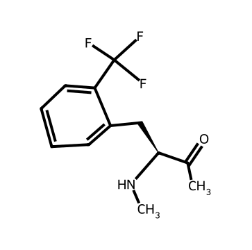 CN[C@@H](Cc1ccccc1C(F)(F)F)C(C)=O